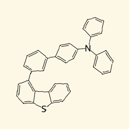 c1ccc(N(c2ccccc2)c2ccc(-c3cccc(-c4cccc5sc6ccccc6c45)c3)cc2)cc1